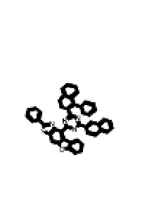 c1ccc(-c2nc3c(-c4nc(-c5ccc6ccccc6c5)nc(-c5ccc6ccccc6c5-c5ccccc5)n4)c4c(cc3s2)oc2ccccc24)cc1